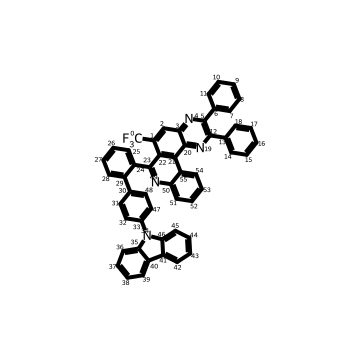 FC(F)(F)c1cc2nc(-c3ccccc3)c(-c3ccccc3)nc2c2c1c(-c1ccccc1-c1ccc(-n3c4ccccc4c4ccccc43)cc1)nc1ccccc12